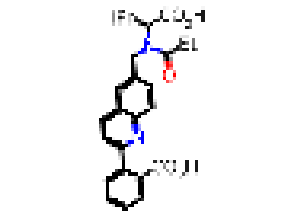 CCC(=O)N(Cc1ccc2nc(-c3ccccc3C(=O)O)ccc2c1)[C@H](C(=O)O)C(C)C